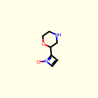 [O-][N+]1=C(C2CNCCO2)C=C1